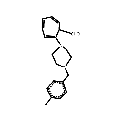 Cc1ccc(CN2CCN(C3=CC=CC=CC3C=O)CC2)cc1